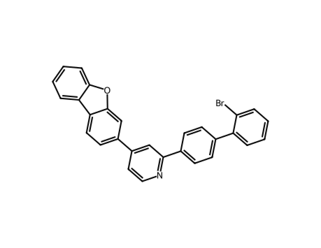 Brc1ccccc1-c1ccc(-c2cc(-c3ccc4c(c3)oc3ccccc34)ccn2)cc1